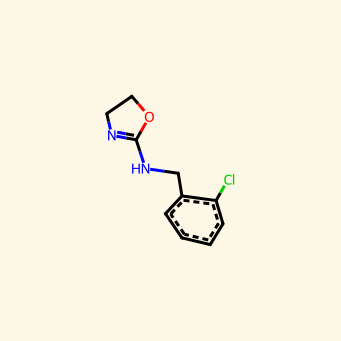 Clc1ccccc1CNC1=NCCO1